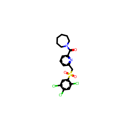 O=C(c1cccc(CS(=O)(=O)c2cc(Cl)c(Cl)cc2Cl)n1)N1CCCCCC1